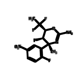 CC(F)(F)[C@H]1OC(N)=N[C@](C)(c2cc([N+](=O)[O-])ccc2F)[C@H]1F